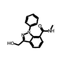 CNC(=O)c1cccc2c(CO)nn(-c3ccccc3)c12